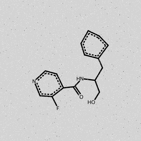 O=C(NC(CO)Cc1ccccc1)c1ccncc1F